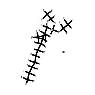 F.FC(F)(F)C(F)(F)O[Si](OC(F)(F)C(F)(F)F)(OC(F)(F)C(F)(F)F)C(F)(F)C(F)(F)C(F)(F)C(F)(F)C(F)(F)C(F)(F)C(F)(F)C(F)(F)C(F)(F)C(F)(F)F